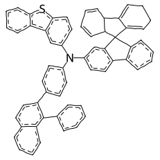 C1=CC2C3=CCCC=C3C3(c4ccccc4-c4ccc(N(c5ccc(-c6ccc7ccccc7c6-c6ccccc6)cc5)c5ccc6sc7ccccc7c6c5)cc43)C2C=C1